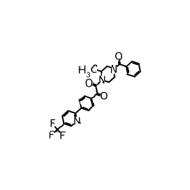 CC1CN(C(=O)c2ccccc2)CCN1C(=O)C(=O)c1ccc(-c2ccc(C(F)(F)F)cn2)cc1